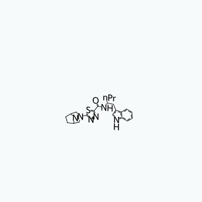 CCCC(Cc1c[nH]c2ccccc12)NC(=O)c1nnc(N2CC3CCC(C2)N3C)s1